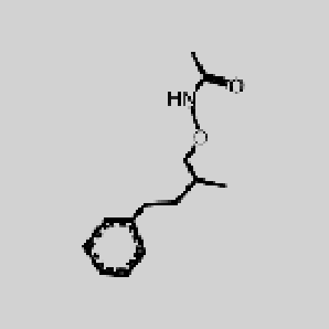 CC(=O)NOCC(C)CCc1ccccc1